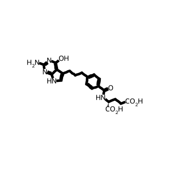 Nc1nc(O)c2c(CCCc3ccc(C(=O)N[C@H](CCC(=O)O)C(=O)O)cc3)c[nH]c2n1